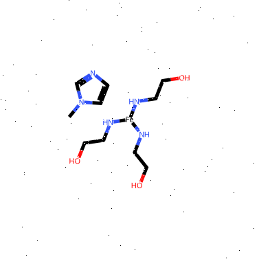 Cn1ccnc1.OCC[NH][Fe]([NH]CCO)[NH]CCO